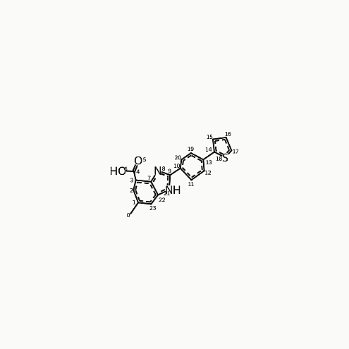 Cc1cc(C(=O)O)c2nc(-c3ccc(-c4cccs4)cc3)[nH]c2c1